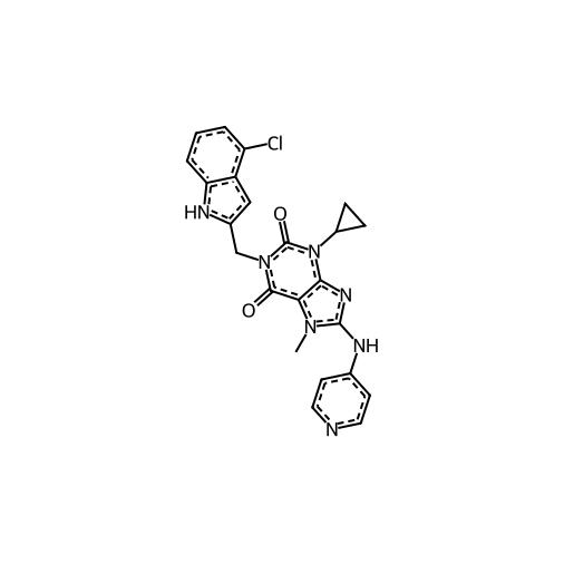 Cn1c(Nc2ccncc2)nc2c1c(=O)n(Cc1cc3c(Cl)cccc3[nH]1)c(=O)n2C1CC1